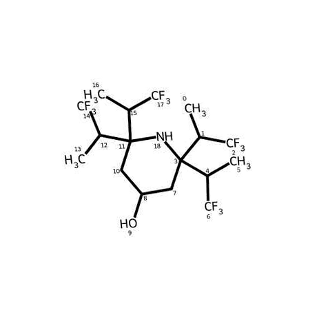 CC(C(F)(F)F)C1(C(C)C(F)(F)F)CC(O)CC(C(C)C(F)(F)F)(C(C)C(F)(F)F)N1